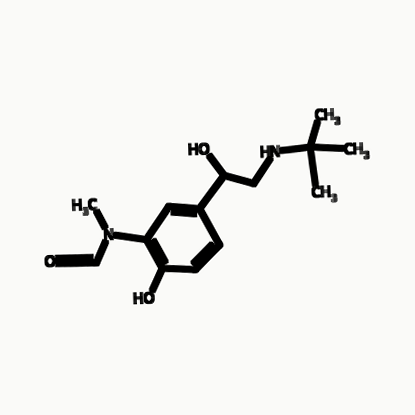 CN(C=O)c1cc(C(O)CNC(C)(C)C)ccc1O